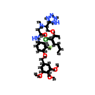 C=C(OCC(c1nnn[nH]1)N(C)CC(=O)Nc1ccc(OCc2cc(OC)c(OC)c(OC)c2)c(F)c1)/C(Cl)=C\C=C/C